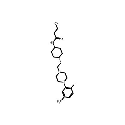 N#CCCC(=O)N[C@H]1CC[C@H](CCN2CCN(c3cc(C(F)(F)F)ccc3F)CC2)CC1